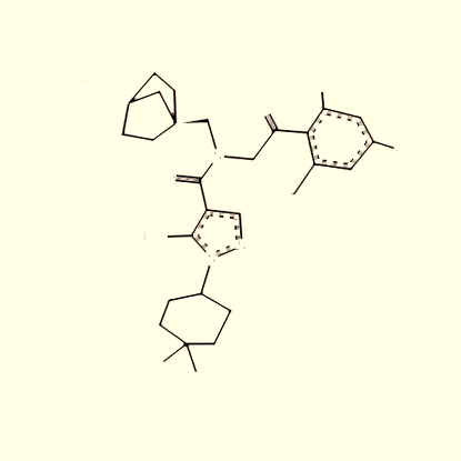 CC1(C(=O)O)CCC(n2ncc(C(=O)N(CC(=O)c3c(Cl)cc(Cl)cc3Cl)C[C@]34CC[C@@](C)(CC3)C4)c2C(F)(F)F)CC1